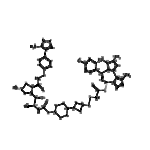 Cc1ncsc1-c1ccc(CNC(=O)[C@@H]2C[C@@H](O)CN2C(=O)[C@@H](NC(=O)CN2CCN(C3CN(CCNC(=O)C[C@@H]4N=C(c5ccc(Cl)cc5)c5c(sc(C)c5C)-n5c(C)nnc54)C3)CC2)C(C)(C)C)cc1